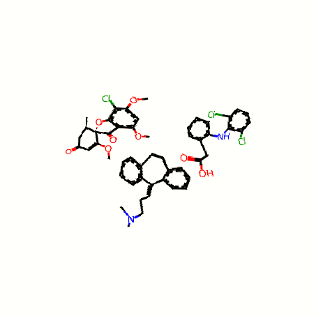 CN(C)CCC=C1c2ccccc2CCc2ccccc21.COC1=CC(=O)C[C@@H](C)[C@]12Oc1c(Cl)c(OC)cc(OC)c1C2=O.O=C(O)Cc1ccccc1Nc1c(Cl)cccc1Cl